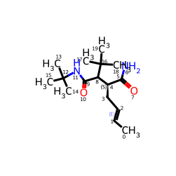 C/C=C/C[C@H](C(N)=O)C(C(=O)NC(C)(C)C)C(C)(C)C